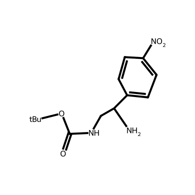 CC(C)(C)OC(=O)NCC(N)c1ccc([N+](=O)[O-])cc1